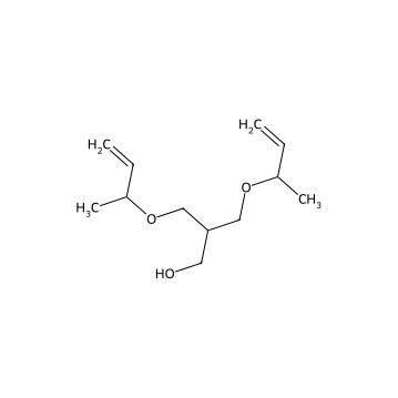 C=CC(C)OCC(CO)COC(C)C=C